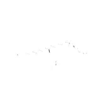 CCCCCCCCCCCCCCCCCC(=O)NCCCCC(C)(CCCCCCCCCCCCCC)C(=O)O.Cl.N.N